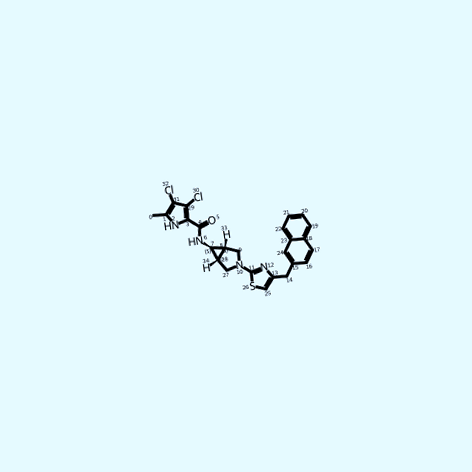 Cc1[nH]c(C(=O)N[C@H]2[C@@H]3CN(c4nc(Cc5ccc6ccccc6c5)cs4)C[C@@H]32)c(Cl)c1Cl